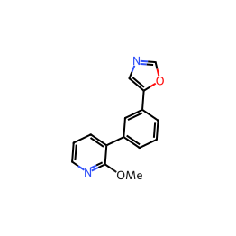 COc1ncccc1-c1cccc(-c2cnco2)c1